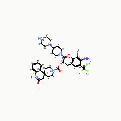 Nc1c(Cl)cc(C[C@@H](OC(=O)N2CCC3(CC2)CC(=O)Nc2ccccc23)C(=O)N2CCC(N3CCNCC3)CC2)cc1C(F)(F)F